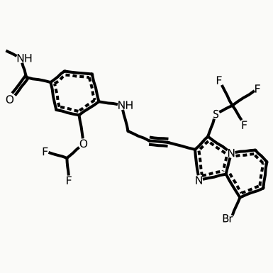 CNC(=O)c1ccc(NCC#Cc2nc3c(Br)cccn3c2SC(F)(F)F)c(OC(F)F)c1